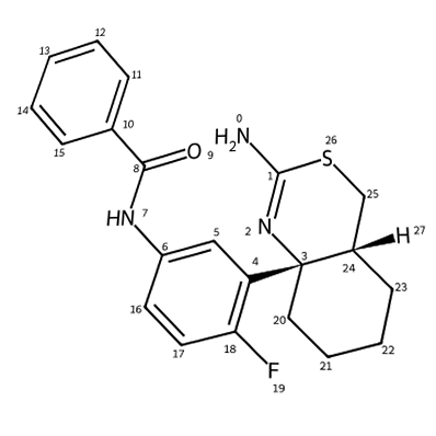 NC1=N[C@@]2(c3cc(NC(=O)c4ccccc4)ccc3F)CCCC[C@H]2CS1